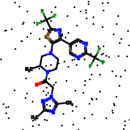 Cc1nc(C)n(CC(=O)N2CCN(c3sc(C(F)(F)F)nc3-c3cnc(C(F)(F)F)nc3)CC2C)n1